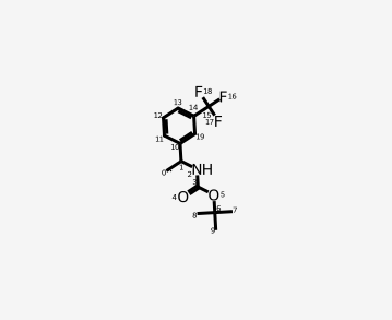 [CH2]C(NC(=O)OC(C)(C)C)c1cccc(C(F)(F)F)c1